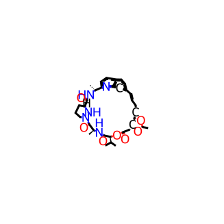 CC(=O)O[C@H]1CC/C=C/c2ccc3ccc(nc3c2)[C@@H](C)NC(=O)[C@@H]2CCCN(N2)C(=O)[C@H](C)NC(=O)[C@H](C(C)C)OC(=O)CC1